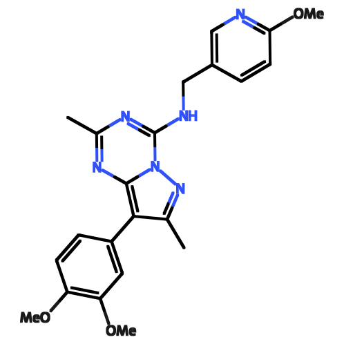 COc1ccc(CNc2nc(C)nc3c(-c4ccc(OC)c(OC)c4)c(C)nn23)cn1